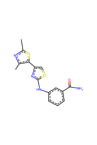 Cc1nc(C)c(-c2csc(Nc3cccc(C(N)=O)c3)n2)s1